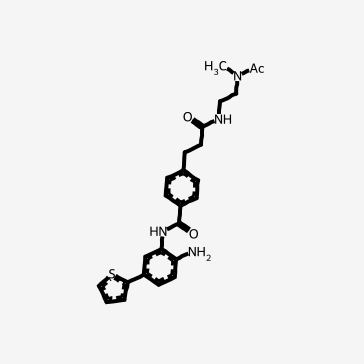 CC(=O)N(C)CCNC(=O)CCc1ccc(C(=O)Nc2cc(-c3cccs3)ccc2N)cc1